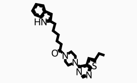 CCc1cc2c(N3CCN(C(=O)CCCCCc4cc5ccccc5[nH]4)CC3)ncnc2s1